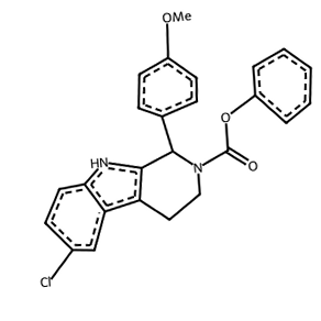 COc1ccc(C2c3[nH]c4ccc(Cl)cc4c3CCN2C(=O)Oc2ccccc2)cc1